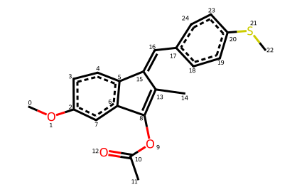 COc1ccc2c(c1)C(OC(C)=O)=C(C)C2=Cc1ccc(SC)cc1